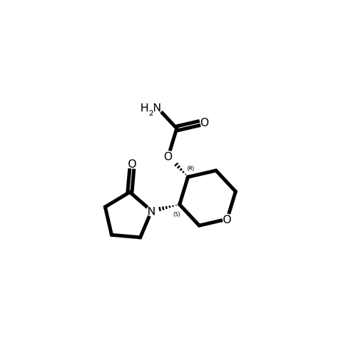 NC(=O)O[C@@H]1CCOC[C@@H]1N1CCCC1=O